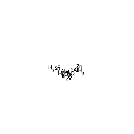 O.O.O.[AlH3].[AlH3].[SnH2].[Zn]